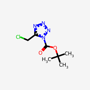 CC(C)(C)OC(=O)n1nnnc1CCl